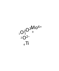 [Mo+6].[O-2].[O-2].[O-2].[Ti]